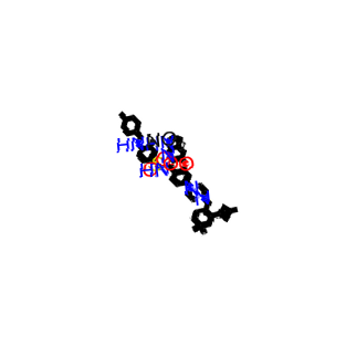 CC1CCC(CNc2ccc(S(=O)(=O)NC(=O)c3ccc(N4CCN(CC5=C(C67CC(C)(C6)C7)CC(C)(C)CC5)CC4)cc3Oc3cnc4[nH]ccc4c3)cc2[N+](=O)[O-])CC1